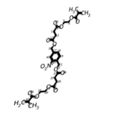 C=C(C)C(=O)OCCOC(=O)CCC(=O)OCc1ccc(COC(=O)CCC(=O)OCCOC(=O)C(=C)C)c([N+](=O)[O-])c1